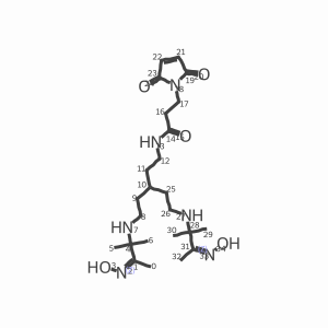 C/C(=N/O)C(C)(C)NCCC(CCNC(=O)CCN1C(=O)C=CC1=O)CCNC(C)(C)/C(C)=N\O